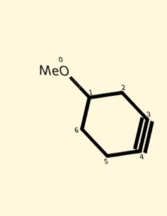 COC1CC#CCC1